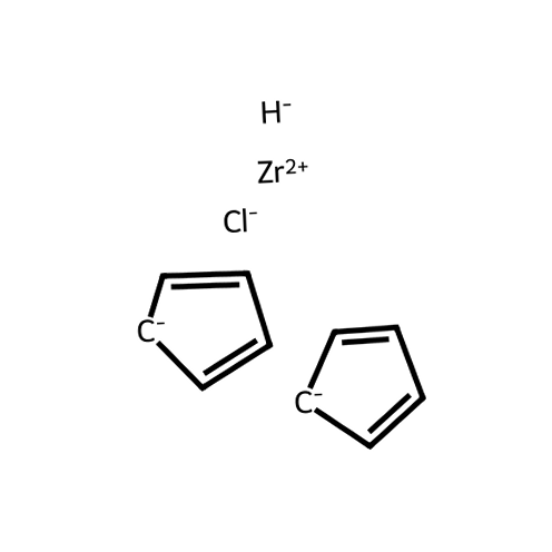 [Cl-].[H-].[Zr+2].c1cc[cH-]c1.c1cc[cH-]c1